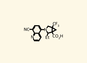 CCC1N(c2ccc(C#N)c3ncccc23)CC2(C(F)(F)F)CC12C(=O)O